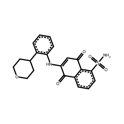 NS(=O)(=O)c1cccc2c1C(=O)C=C(Nc1ccccc1C1CCOCC1)C2=O